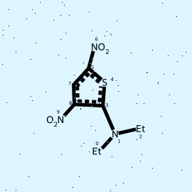 CCN(CC)c1sc([N+](=O)[O-])cc1[N+](=O)[O-]